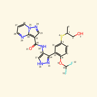 CC(CO)Sc1ccc(OC(F)F)c(-c2n[nH]cc2NC(=O)c2cnn3cccnc23)c1